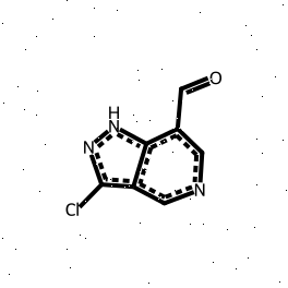 O=Cc1cncc2c(Cl)n[nH]c12